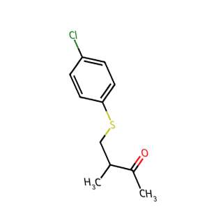 CC(=O)C(C)CSc1ccc(Cl)cc1